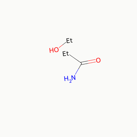 CCC(N)=O.CCO